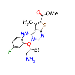 CCC(CN)Oc1cc(F)ccc1Nc1ncnc2sc(C(=O)OC)c(C)c12